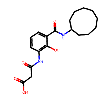 O=C(O)CC(=O)Nc1cccc(C(=O)NC2CCCCCCCC2)c1O